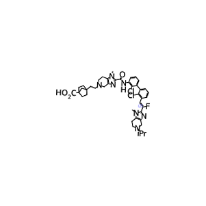 CC(C)N1CCc2c(nc(/C(F)=C/c3cccc(-c4cccc(NC(=O)c5nc6c(n5C)CCN(CCC57CCC(C(=O)O)(CC5)C7)C6)c4Cl)c3Cl)n2C)C1